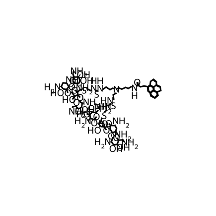 NCC1O[C@H](O[C@H]2C(N)C[C@@H](N)C(O)C2OC2OC(CSCCNC(=S)NCCCCN(CCCCCNC(=O)CCc3cc4cccc5c4c4c3CC=CC4=CC5)CCCNC(=S)NCCSCC3OC(OC4C(O)[C@H](N)CC(N)[C@H]4O[C@@H]4OC(CN)[C@@H](O)C(O)C4N)C(O)C3O[C@H]3OC(CN)[C@@H](O)C(O)C3N)C(O[C@H]3OC(CN)[C@@H](O)C(O)C3N)C2O)C(N)C(O)[C@@H]1O